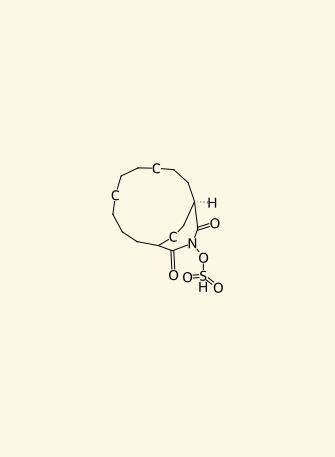 O=C1C2CCCCCCCCC[C@H](CC2)C(=O)N1O[SH](=O)=O